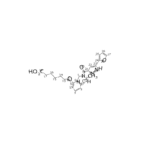 [2H]C(C)(C)N(Cc1ccccc1OCCCCCC(=O)O)C(=O)c1cc(-c2ccco2)[nH]n1